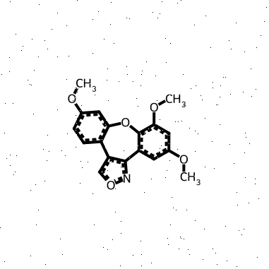 COc1ccc2c(c1)Oc1c(OC)cc(OC)cc1-c1nocc1-2